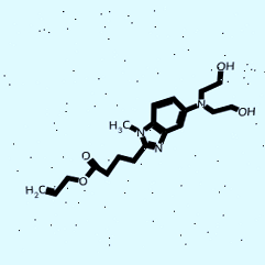 C=CCOC(=O)CCCc1nc2cc(N(CCO)CCO)ccc2n1C